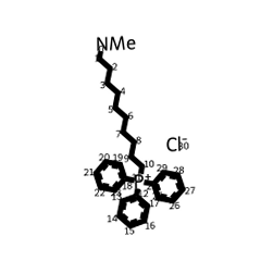 CNCCCCCCCCCC[P+](c1ccccc1)(c1ccccc1)c1ccccc1.[Cl-]